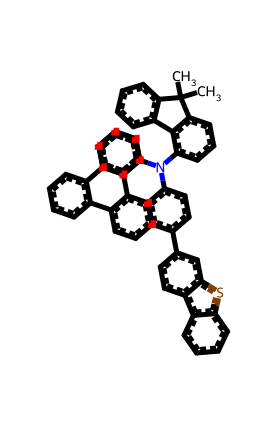 CC1(C)c2ccccc2-c2c(N(c3ccc(-c4ccc5c(c4)sc4ccccc45)cc3)c3ccccc3-c3ccccc3-c3ccccc3-c3ccccc3)cccc21